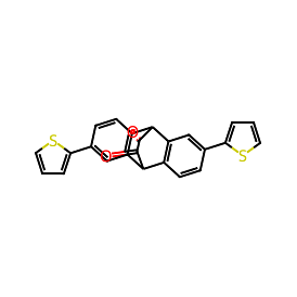 O=C1C(=O)C2c3ccc(-c4cccs4)cc3C1c1ccc(-c3cccs3)cc12